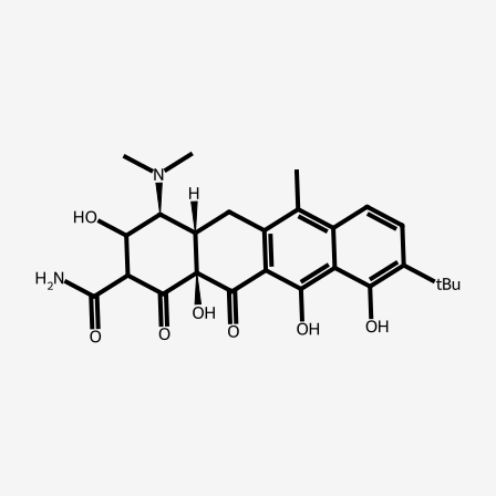 Cc1c2c(c(O)c3c(O)c(C(C)(C)C)ccc13)C(=O)[C@]1(O)C(=O)C(C(N)=O)C(O)[C@@H](N(C)C)[C@@H]1C2